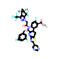 CC(=O)c1cc(-c2cc3sc(-c4cncnc4)nc3nc2[C@H](Cc2cc(F)cc(F)c2)NC(=O)Cn2nc(C(F)(F)F)c3c2C(F)(F)[C@@H]2C[C@H]32)ccc1F